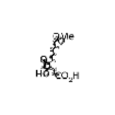 COC(=O)CCCCCC[C@H]1C(=O)C[C@@H](O)[C@@H]1CCC(=O)O